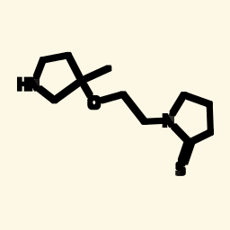 CC1(OCCN2CCCC2=S)CCNC1